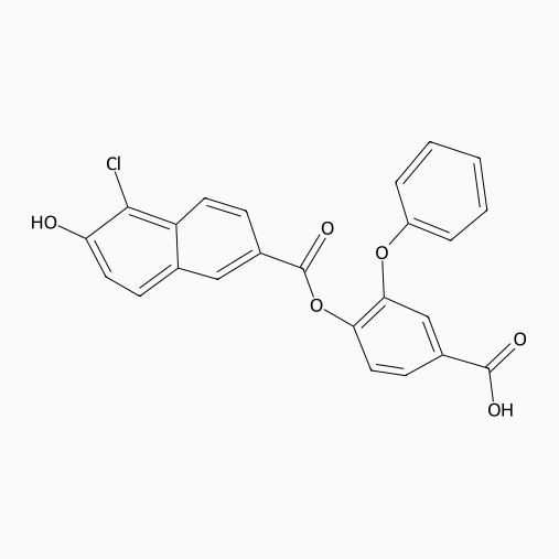 O=C(O)c1ccc(OC(=O)c2ccc3c(Cl)c(O)ccc3c2)c(Oc2ccccc2)c1